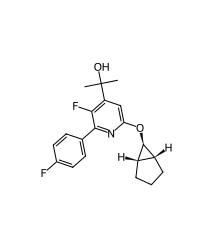 CC(C)(O)c1cc(O[C@H]2[C@@H]3CCC[C@@H]32)nc(-c2ccc(F)cc2)c1F